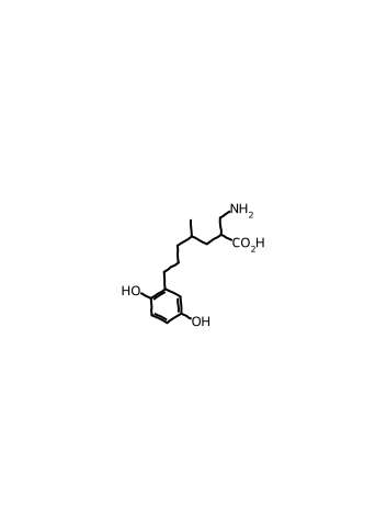 CC(CCCc1cc(O)ccc1O)CC(CN)C(=O)O